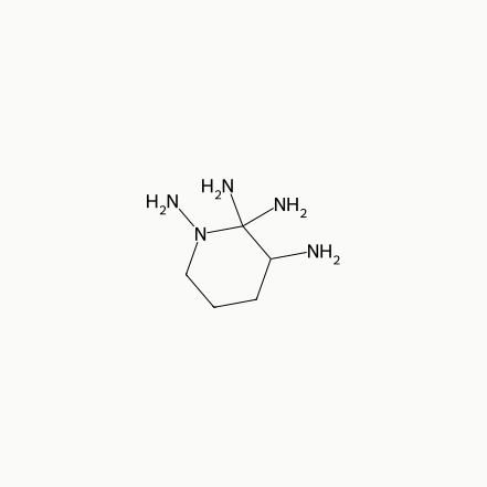 NC1CCCN(N)C1(N)N